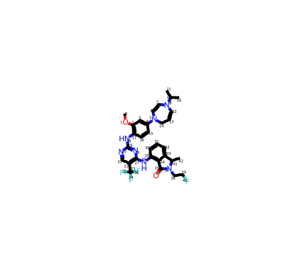 COc1cc(N2C=CN(C(C)C)C=CC2)ccc1Nc1ncc(C(F)(F)F)c(Nc2cccc3c2C(=O)N(CCF)C3C)n1